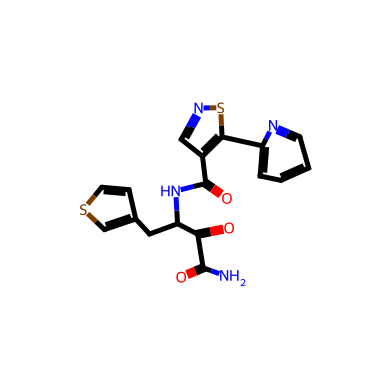 NC(=O)C(=O)C(Cc1ccsc1)NC(=O)c1cnsc1-c1ccccn1